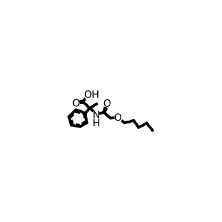 CCCCCOCC(=O)NC(C)(C(=O)O)c1ccccc1